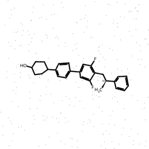 C[C@@H](Cc1c(F)cc(-c2ccc(C3CCC(O)CC3)cc2)cc1F)c1ccccc1